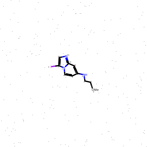 COCCNc1ccn2c(I)cnc2c1